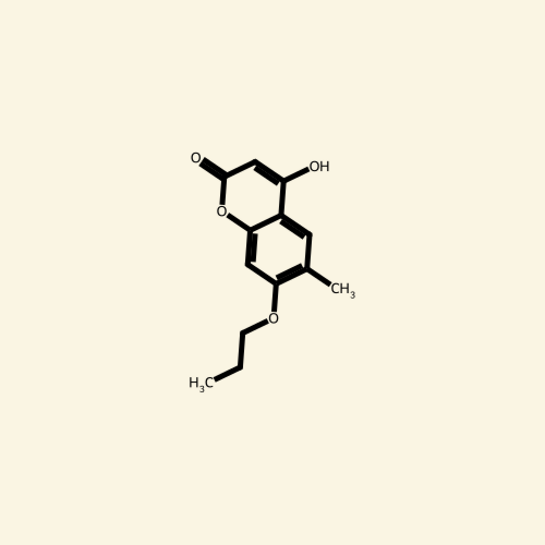 CCCOc1cc2oc(=O)cc(O)c2cc1C